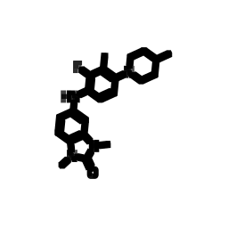 Cc1c(N2CCC(C)CC2)ccc(Nc2ccc3c(c2)n(C)c(=O)n3C)c1F